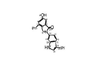 CC(C)c1cc(O)cc2c1CN(c1ccc3c(C(C)C)c[nH]c3c1)C2=O